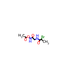 CC(=O)ONC(=O)CNC(=O)C(C)Br